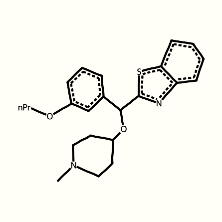 CCCOc1cccc(C(OC2CCN(C)CC2)c2nc3ccccc3s2)c1